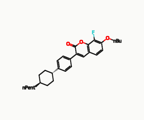 CCCCC[C@H]1CC[C@H](c2ccc(-c3cc4ccc(OCCCC)c(F)c4oc3=O)cc2)CC1